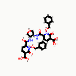 O=C(O)c1ccc(C(=O)N[C@H]2COC[C@H]2NC(=O)c2ccc(C(=O)O)c(=O)n2OCc2ccccc2)n(OCc2ccccc2)c1=O